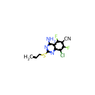 C=CCSc1nc(N)c2c(F)c(C#N)c(F)c(Cl)c2n1